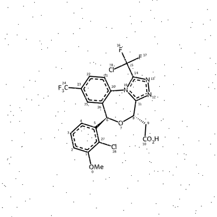 COc1cccc([C@@H]2O[C@@H](CC(=O)O)c3nnc(C(F)(F)Cl)n3-c3ccc(C(F)(F)F)cc32)c1Cl